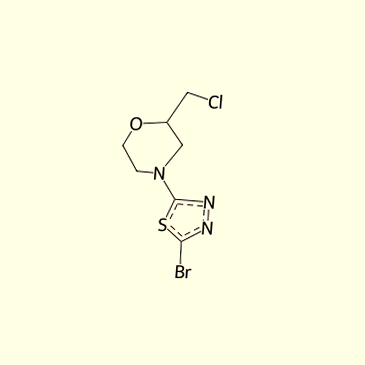 ClCC1CN(c2nnc(Br)s2)CCO1